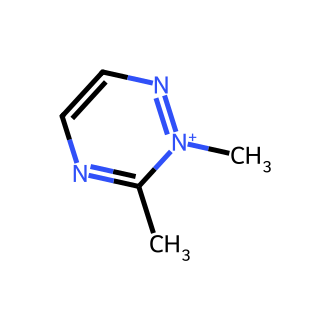 Cc1nccn[n+]1C